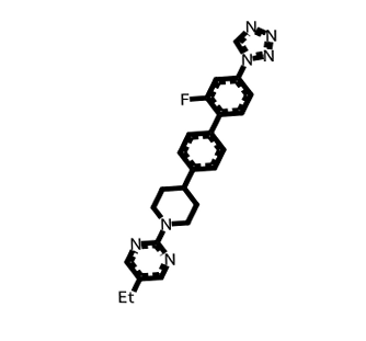 CCc1cnc(N2CCC(c3ccc(-c4ccc(-n5cnnn5)cc4F)cc3)CC2)nc1